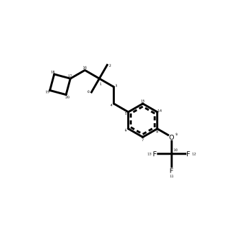 CC(C)(CCc1ccc(OC(F)(F)F)cc1)CC1CCC1